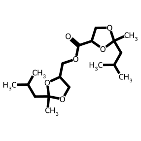 CC(C)CC1(C)OCC(COC(=O)C2COC(C)(CC(C)C)O2)O1